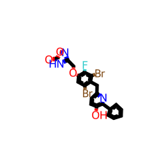 O=c1[nH]c(COc2cc(Br)c(Cc3ccc(O)c(-c4ccccc4)n3)c(Br)c2F)no1